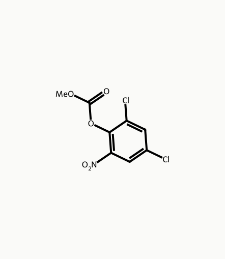 COC(=O)Oc1c(Cl)cc(Cl)cc1[N+](=O)[O-]